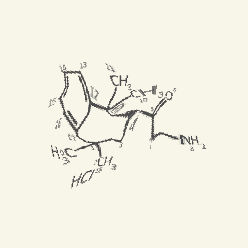 CC1(C)CC(C(=O)CN)C(C)(C)c2ccccc21.Cl